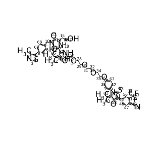 Cc1ncsc1-c1ccc(CNC(=O)[C@@H]2C[C@@H](O)CN2C(=O)[C@@H](NC(=O)COCCOCCOCCOc2ccc(N3C(=S)N(c4ccc(C#N)c(C(F)(F)F)c4)C(=O)C3(C)C)cc2)C(C)(C)C)cc1